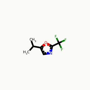 CC(C)c1cnc(C(F)(F)F)o1